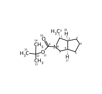 C[C@@H]1[C@H]2CCC[C@H]2CN1C(=O)OC(C)(C)C